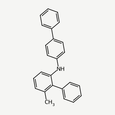 Cc1cccc(Nc2ccc(-c3ccccc3)cc2)c1-c1ccccc1